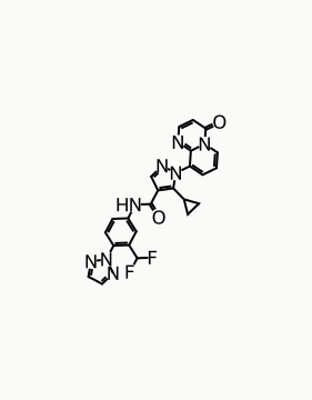 O=C(Nc1ccc(-n2nccn2)c(C(F)F)c1)c1cnn(-c2cccn3c(=O)ccnc23)c1C1CC1